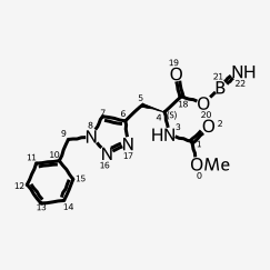 COC(=O)N[C@@H](Cc1cn(Cc2ccccc2)nn1)C(=O)OB=N